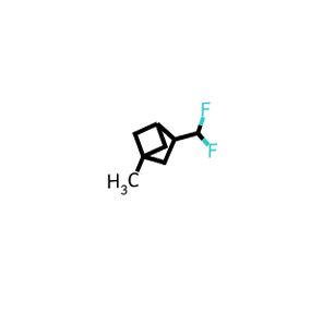 CC12CC(C1)C(C(F)F)C2